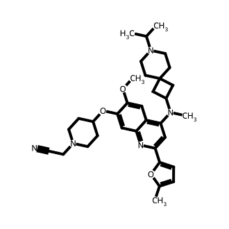 COc1cc2c(N(C)C3CC4(CCN(C(C)C)CC4)C3)cc(-c3ccc(C)o3)nc2cc1OC1CCN(CC#N)CC1